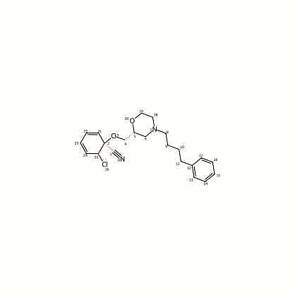 N#C[C@@]1(OC[C@H]2CN(CCCCc3ccccc3)CCO2)C=CC=CC1Cl